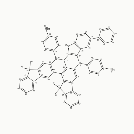 CC(C)(C)c1ccc(N2c3cc4c(c5c3C(c3sc6ccc(-c7ccccc7)cc6c32)N(c2ccc(C(C)(C)C)cc2)c2cc3c(cc2-5)-c2ccccc2C3(C)C)C(C)(C)c2ccccc2-4)cc1